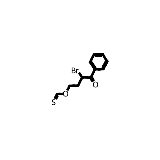 O=C(c1ccccc1)C(Br)CCOC=S